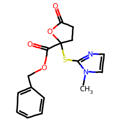 Cn1ccnc1SC1(C(=O)OCc2ccccc2)CCC(=O)O1